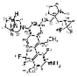 COc1c(-c2c(F)c(N)cc(C)c2C(F)(F)F)ncc2c(N3C[C@H]4CC[C@@H](C3)N4)nc(OC[C@@]34CCCN3C[C@@]3(CC3(F)F)C4)nc12